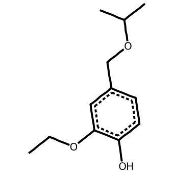 CCOc1cc(COC(C)C)ccc1O